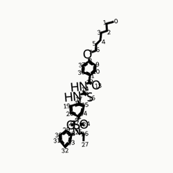 CCCCCCCOc1ccc(C(=O)NC(=S)Nc2ccc(S(=O)(=O)N(CC)c3ccccc3)cc2)cc1